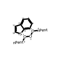 CCCCCOOOCCCCC.c1ccc2sccc2c1